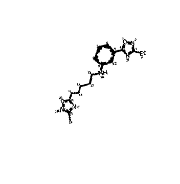 CCc1noc(-c2cccc(NCCCCCc3nc(C)no3)c2)n1